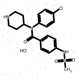 CS(=O)(=O)Nc1ccc(C(=O)N(c2ccc(Cl)cc2)C2CCNCC2)cc1.Cl